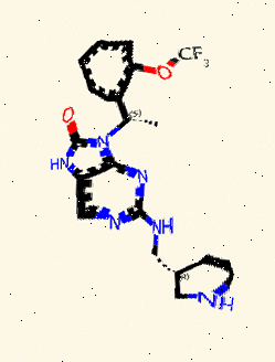 C[C@@H](c1ccccc1OC(F)(F)F)n1c(=O)[nH]c2cnc(NC[C@@H]3CCNC3)nc21